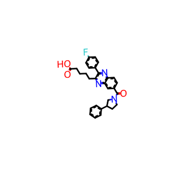 O=C(O)CCCCc1nc2cc(C(=O)N3CCC(c4ccccc4)C3)ccc2nc1-c1ccc(F)cc1